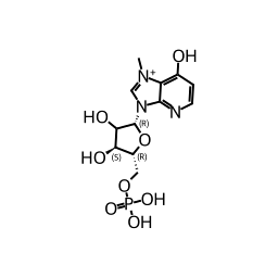 C[n+]1cn([C@@H]2O[C@H](COP(=O)(O)O)[C@@H](O)C2O)c2nccc(O)c21